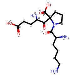 NCCCCC(N)C(=O)N1CCCC1(C(=O)O)C(=O)C(N)CCC(=O)O